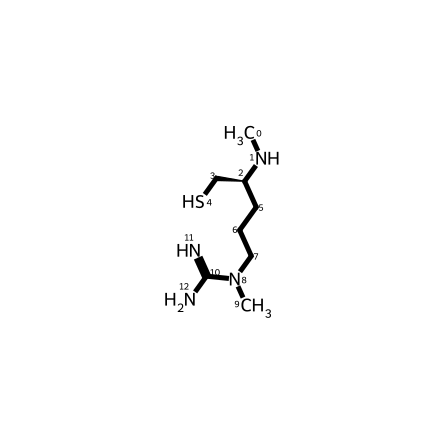 CN[C@H](CS)CCCN(C)C(=N)N